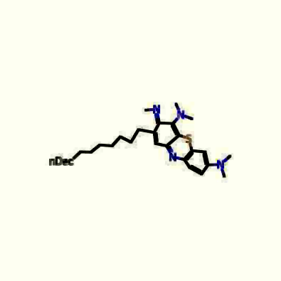 CCCCCCCCCCCCCCCCCc1cc2nc3ccc(N(C)C)cc3sc-2c(N(C)C)/c1=N/C